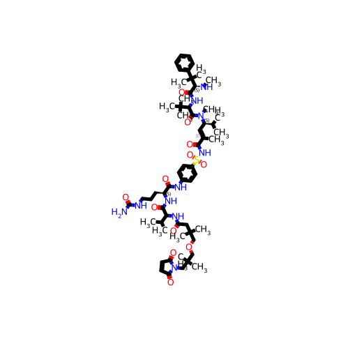 CN[C@H](C(=O)NC(C(=O)N(C)[C@H](/C=C(\C)C(=O)NS(=O)(=O)c1ccc(NC(=O)[C@H](CCCNC(N)=O)NC(=O)C(NC(=O)CC(C)(C)COCC(C)(C)CN2C(=O)C=CC2=O)C(C)C)cc1)C(C)C)C(C)(C)C)C(C)(C)c1ccccc1